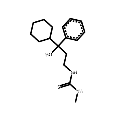 CNC(=S)NCCC(O)(c1ccccc1)C1CCCCC1